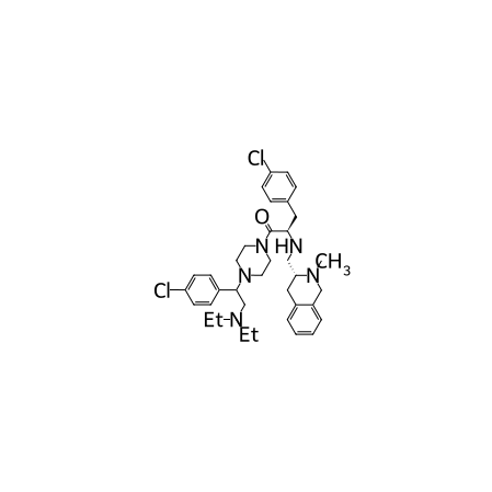 CCN(CC)CC(c1ccc(Cl)cc1)N1CCN(C(=O)[C@@H](Cc2ccc(Cl)cc2)NC[C@H]2Cc3ccccc3CN2C)CC1